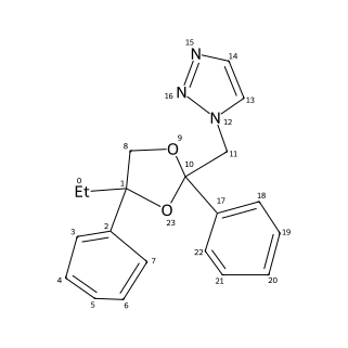 CCC1(c2ccccc2)COC(Cn2ccnn2)(c2ccccc2)O1